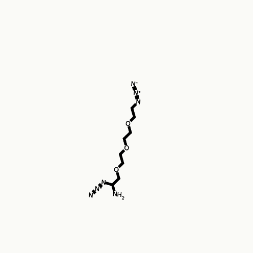 [N-]=[N+]=NCCOCCOCCOCC(N)N=[N+]=[N-]